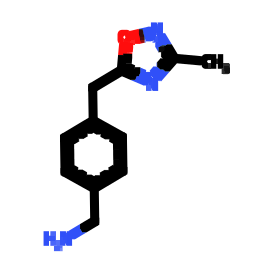 Cc1noc(Cc2ccc(CN)cc2)n1